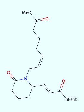 CCCCCC(=O)/C=C/C1CCCC(=O)N1C/C=C\CCCC(=O)OC